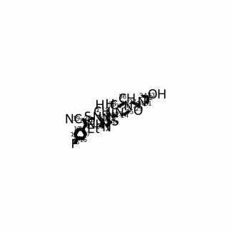 CCc1nc2n(c1N(C)C1NC(c3ccc(F)cc3)=C(C#N)S1)NC(N1CCN(CC(=O)N3CC(O)C3)C(C)C1C)S2